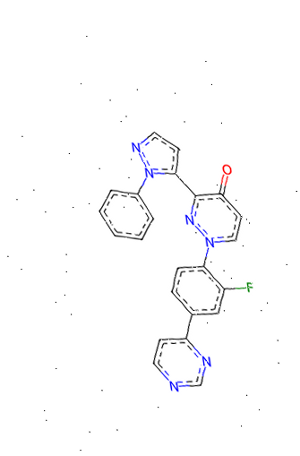 O=c1ccn(-c2ccc(-c3ccncn3)cc2F)nc1-c1ccnn1-c1ccccc1